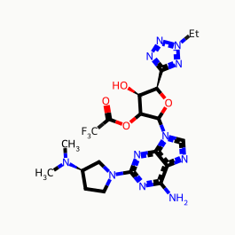 CCn1nnc([C@H]2OC(n3cnc4c(N)nc(N5CC[C@@H](N(C)C)C5)nc43)C(OC(=O)C(F)(F)F)[C@H]2O)n1